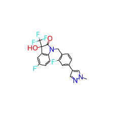 Cn1cc(-c2ccc(CN3C(=O)C(O)(C(F)(F)F)c4cc(F)ccc43)c(F)c2)cn1